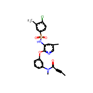 CC#CC(=O)N(C)c1cccc(Oc2ncc(C)cc2NS(=O)(=O)c2ccc(Cl)c(C(F)(F)F)c2)c1